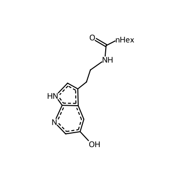 CCCCCCC(=O)NCCc1c[nH]c2ncc(O)cc12